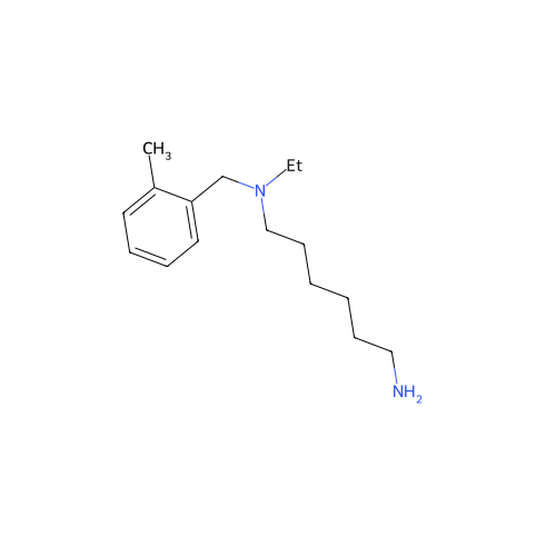 CCN(CCCCCCN)Cc1ccccc1C